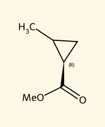 COC(=O)[C@@H]1CC1C